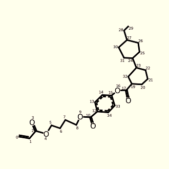 C=CC(=O)OCCCCOC(=O)c1ccc(OC(=O)C2CCCC(C3CCC(CC)CC3)C2)cc1